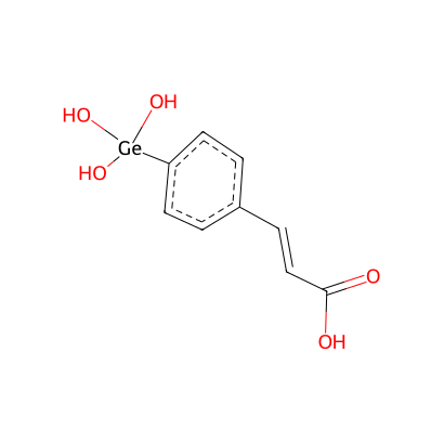 O=C(O)C=Cc1cc[c]([Ge]([OH])([OH])[OH])cc1